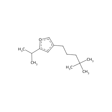 CC(C)c1cc(CCCC(C)(C)C)co1